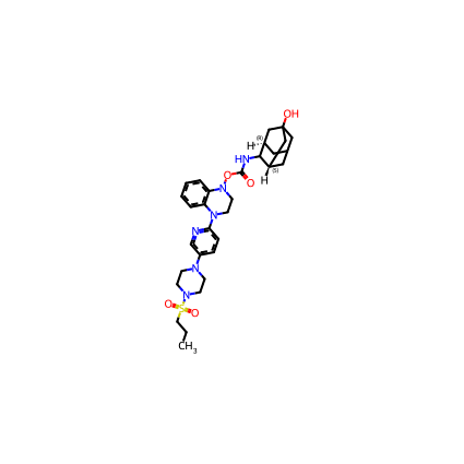 CCCS(=O)(=O)N1CCN(c2ccc(N3CCN(OC(=O)NC4[C@@H]5CC6C[C@H]4CC(O)(C6)C5)c4ccccc43)nc2)CC1